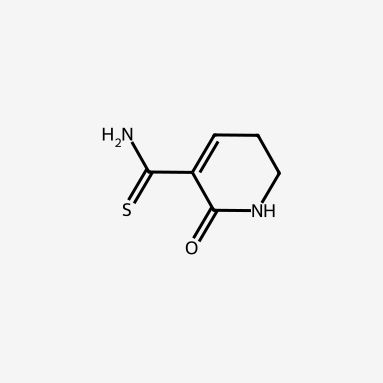 NC(=S)C1=CCCNC1=O